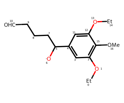 CCOc1cc(C([O])CCCC=O)cc(OCC)c1OC